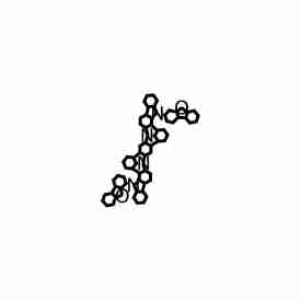 c1ccc2c(c1)oc1cc(-n3c4ccccc4c4ccc5c(c6cccc7c8cc9c(cc8n5c76)c5cccc6c7c8c(ccc7n9c56)c5ccccc5n8-c5cccc6c5oc5ccccc56)c43)ccc12